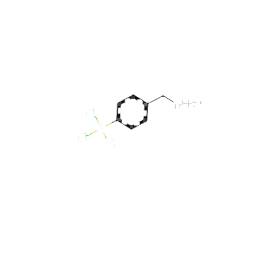 CCCCCCCc1ccc(S(Cl)(Cl)Cl)cc1